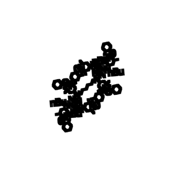 CCCCN(c1nc(N(CCCC)C2CC(C)N(OC3CCCCC3C)C(C)(C)C2)nc(N(CCCCCCN(c2nc(N(CCCC)C3CC(C)N(OC4CCCCC4C)C(C)(C)C3)nc(N(CCCC)C3CC(C)N(OC4CCCCC4C)C(C)(C)C3)n2)C2CC(C)(C)N(OC3CCCCC3)C(C)(C)C2)C2CC(C)(C)N(OC3CCCCC3)C(C)(C)C2)n1)C1CC(C)N(OC2CCCCC2C)C(C)(C)C1